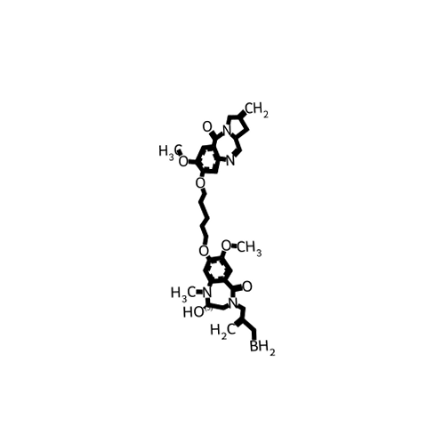 BCC(=C)CN1C[C@H](O)N(C)c2cc(OCCCCCOc3cc4c(cc3OC)C(=O)N3CC(=C)CC3C=N4)c(OC)cc2C1=O